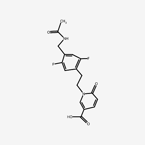 CC(=O)NCc1cc(F)c(CCn2cc(C(=O)O)ccc2=O)cc1F